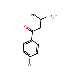 CCOC(=O)C(CC(=O)c1ccc(Cl)cc1)C(C)=O